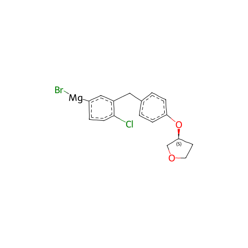 Clc1cc[c]([Mg][Br])cc1Cc1ccc(O[C@H]2CCOC2)cc1